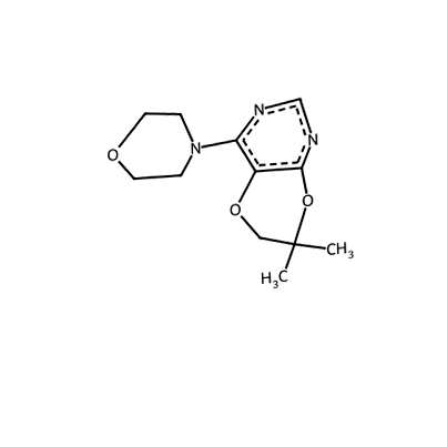 CC1(C)COc2c(ncnc2N2CCOCC2)O1